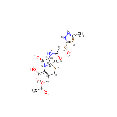 CC(=O)OCC1=C(C(=O)O)N2C(=O)[C@@H](NC(=O)C[S+]([O-])c3nnc(C)s3)[C@H]2SC1